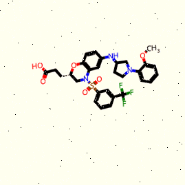 COc1ccccc1N1CCC(Nc2ccc3c(c2)N(S(=O)(=O)c2cccc(C(F)(F)F)c2)C[C@H](CCC(=O)O)O3)C1